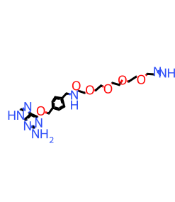 N=NCCOCCOCCOCCOCC(=O)NCc1ccc(COc2nc(N)nc3[nH]cnc23)cc1